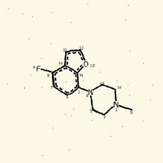 CN1CCN(c2ccc(F)c3ccoc23)CC1